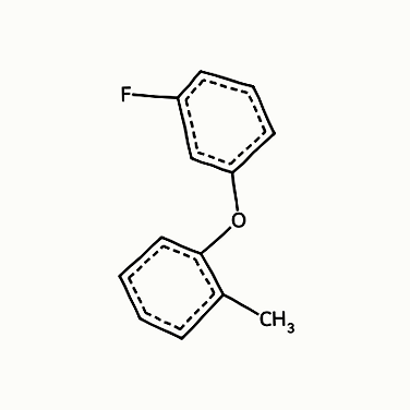 Cc1ccccc1Oc1cccc(F)c1